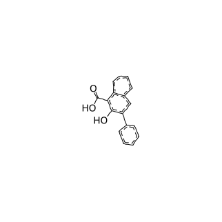 O=C(O)c1c(O)c(-c2ccccc2)cc2ccccc12